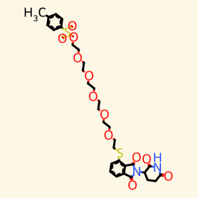 Cc1ccc(S(=O)(=O)OCCOCCOCCOCCOCCOCCSc2cccc3c2C(=O)N(C2CCC(=O)NC2=O)C3=O)cc1